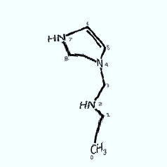 CCNCN1C=CNC1